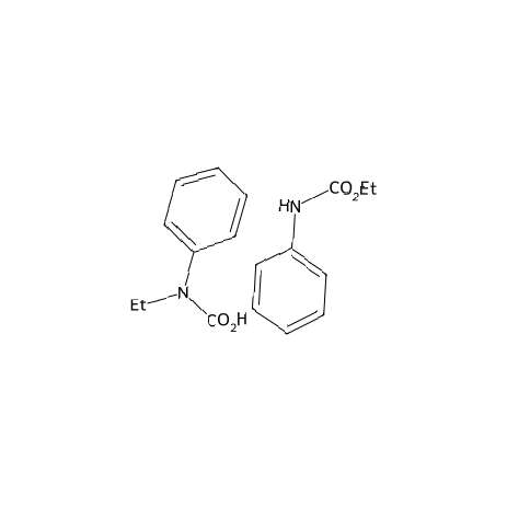 CCN(C(=O)O)c1ccccc1.CCOC(=O)Nc1ccccc1